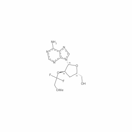 COCC(F)(F)O[C@@H]1C[C@@H](CO)O[C@H]1n1cnc2c(N)ncnc21